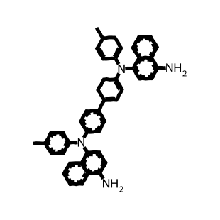 Cc1ccc(N(c2ccc(C3=CC=C(N(C4=CCC(C)C=C4)c4ccc(N)c5ccccc45)CC3)cc2)c2ccc(N)c3ccccc23)cc1